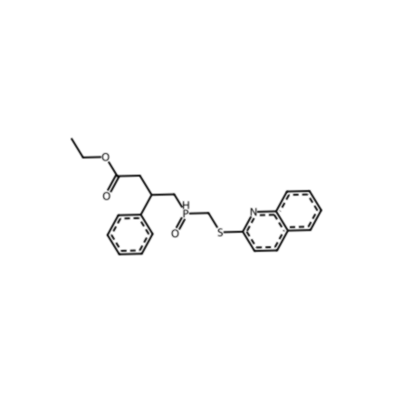 CCOC(=O)CC(C[PH](=O)CSc1ccc2ccccc2n1)c1ccccc1